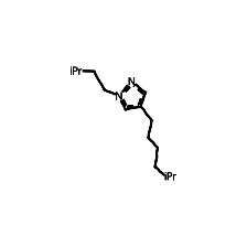 CC(C)CCCCc1cnn(CCC(C)C)c1